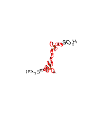 O=S(=O)(O)OOS(=O)(=O)OOOOS(=O)(=O)OOS(=O)(=O)O